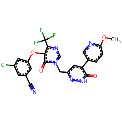 COc1ccc(-c2cc(Cn3cnc(C(F)(F)F)c(Oc4cc(Cl)cc(C#N)c4)c3=O)n[nH]c2=O)cn1